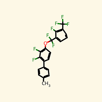 Cc1ccc(-c2ccc(OC(F)(F)c3cccc(C(F)(F)F)c3F)c(F)c2F)cc1